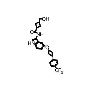 O=C(Nc1c[nH]c2ccc(O[C@H]3C[C@@H](c4ccc(C(F)(F)F)cc4)C3)cc12)C1CC(CO)C1